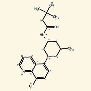 Cc1ccc(N2C[C@@H](C)C[C@@H](NC(=O)CC(C)(C)O)C2)c2cccnc12